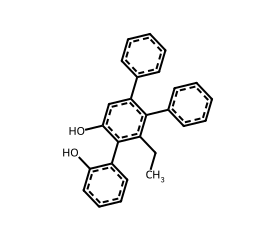 CCc1c(-c2ccccc2O)c(O)cc(-c2ccccc2)c1-c1ccccc1